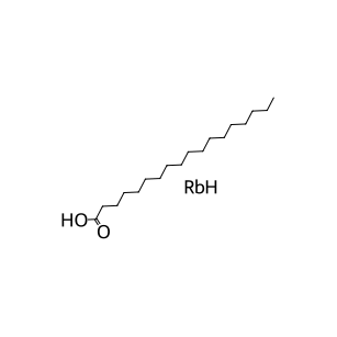 CCCCCCCCCCCCCCCCCC(=O)O.[RbH]